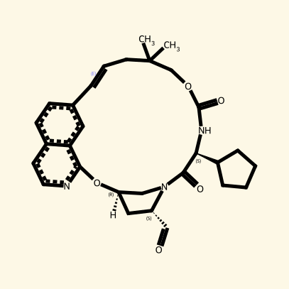 CC1(C)C/C=C/c2ccc3ccnc(c3c2)O[C@@H]2C[C@@H](C=O)N(C2)C(=O)[C@H](C2CCCC2)NC(=O)OC1